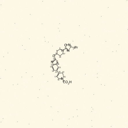 CC(C)c1noc(N2CCC(Oc3nc4ccc(C5=CCN(C(=O)O)CC5)cc4s3)CC2)n1